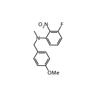 COc1ccc(CN(C)c2cccc(F)c2[N+](=O)[O-])cc1